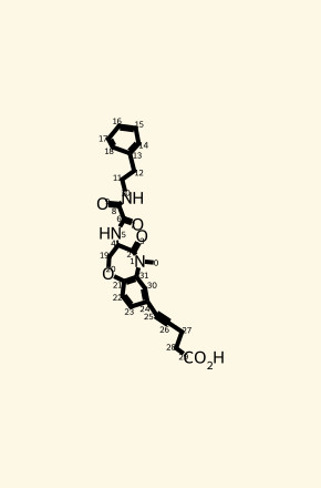 CN1C(=O)[C@@H](NC(=O)C(=O)NCCc2ccccc2)COc2ccc(C#CCCC(=O)O)cc21